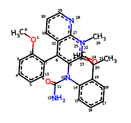 COc1ccccc1-c1c(N(C(N)=O)c2ccccc2C(C)C)c(=O)n(C)c2ncccc12